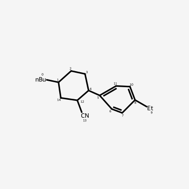 CCCCC1CCC(c2ccc(CC)cc2)C(C#N)C1